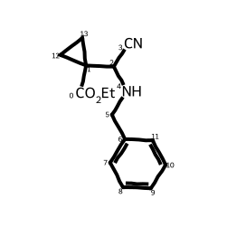 CCOC(=O)C1(C(C#N)NCc2ccccc2)CC1